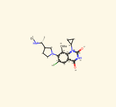 CCN[C@H](C)C1CCN(c2c(F)cc3c(=O)[nH]c(=O)n(C4CC4)c3c2OC)C1